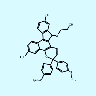 COc1ccc(C2(c3ccc(OC)cc3)C=Cc3c4c(c5ccc(C)cc5c3O2)-c2ccc(C)cc2C4OCCO)cc1